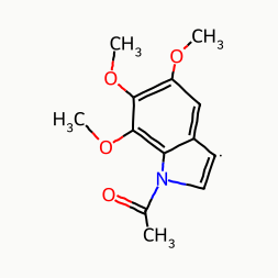 COc1cc2[c]cn(C(C)=O)c2c(OC)c1OC